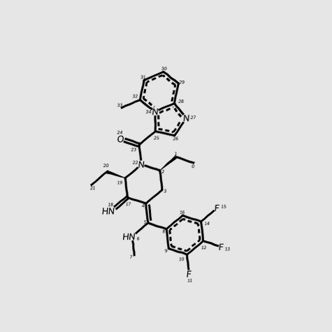 CC[C@H]1C/C(=C(/NC)c2cc(F)c(F)c(F)c2)C(=N)[C@@H](CC)N1C(=O)c1cnc2cccc(C)n12